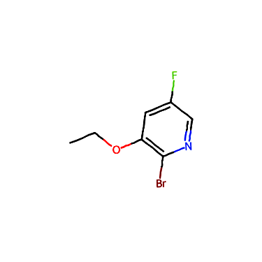 CCOc1cc(F)cnc1Br